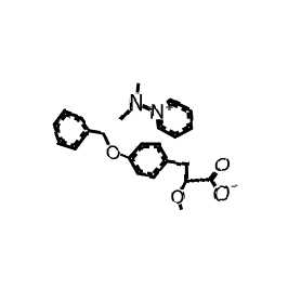 CN(C)[n+]1ccccc1.COC(Cc1ccc(OCc2ccccc2)cc1)C(=O)[O-]